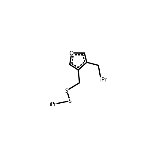 CC(C)Cc1cocc1CSSC(C)C